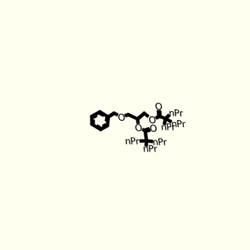 CCCC(CCC)(CCC)C(=O)OCC(COCc1ccccc1)OC(=O)C(CCC)(CCC)CCC